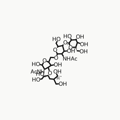 CC(=O)NC1C(OCC2OC(O)C(NC(C)=O)C(OC(CC(CO)[C@@H](C)O)[C@@H](O)CO)C2O)OC(CO)C(O[C@@H]2O[C@@H](CO)C(O)C(O)C2O)C1O